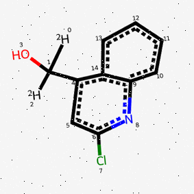 [2H]C([2H])(O)c1cc(Cl)nc2ccccc12